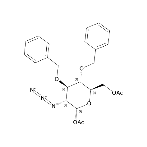 CC(=O)OC[C@H]1O[C@H](OC(C)=O)[C@H](N=[N+]=[N-])[C@@H](OCc2ccccc2)[C@@H]1OCc1ccccc1